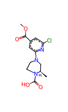 COC(=O)c1cc(Cl)nc(N2CCN(C(=O)O)[C@H](C)C2)c1